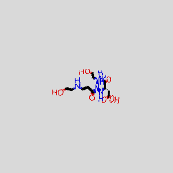 NC(=O)[C@H](CC(=O)O)NN(NCCO)C(=O)CCNCCO